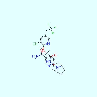 CC(C)(Oc1ncc(CC(F)(F)F)cc1Cl)C(=O)NC1CC2CCC(C1)N2c1ccc(C(N)=O)cn1